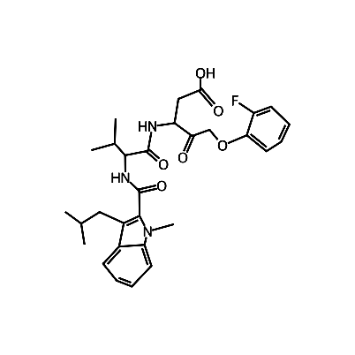 CC(C)Cc1c(C(=O)NC(C(=O)NC(CC(=O)O)C(=O)COc2ccccc2F)C(C)C)n(C)c2ccccc12